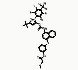 [2H]c1c([2H])c(C([2H])([2H])[2H])c([2H])c([2H])c1-n1nc(C(C)(C)C)cc1NC(=O)Nc1ccc(Oc2ccnc(NC(=O)COC)c2)c2ccccc12